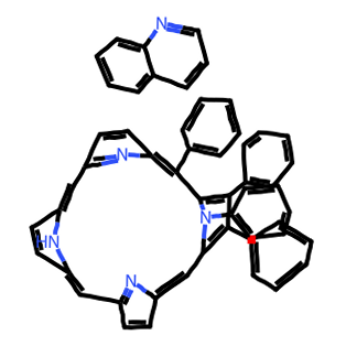 C1=Cc2cc3c(-c4ccccc4)c(-c4ccccc4)c(c(-c4ccccc4)c4nc(cc5ccc(cc1n2)[nH]5)C=C4)n3-c1ccccc1.c1ccc2ncccc2c1